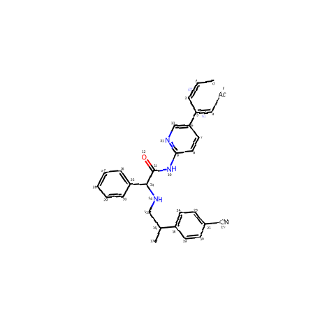 C/C=C\C(=C/C(C)=O)c1ccc(NC(=O)C(NCC(C)c2ccc(C#N)cc2)c2ccccc2)nc1